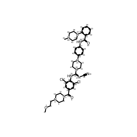 COCCN1CCN(C(=O)c2cc(Cl)c(N/C(=N/C#N)N3CCN(c4ccc(NC(=O)c5ccccc5N5CCN(C)CC5)cc4)CC3)c(Cl)c2)CC1